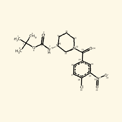 CC(C)(C)OC(=O)N[C@@H]1CCCN(C(=O)c2ccc(Cl)c([N+](=O)[O-])c2)C1